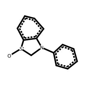 [O-][S+]1CN(c2ccccc2)c2ccccc21